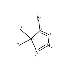 CC1(C)N=N[C]=C1Br